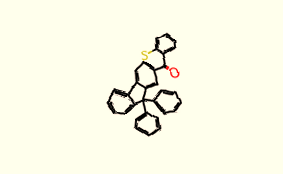 O=c1c2ccccc2sc2cc3c(cc12)C(c1ccccc1)(c1ccccc1)c1ccccc1-3